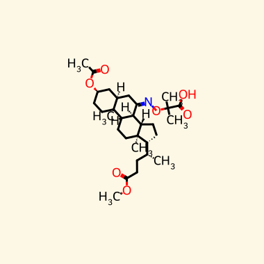 COC(=O)CC[C@@H](C)[C@H]1CC[C@H]2[C@@H]3/C(=N\OC(C)(C)C(=O)O)C[C@@H]4C[C@H](OC(C)=O)CC[C@]4(C)[C@H]3CC[C@]12C